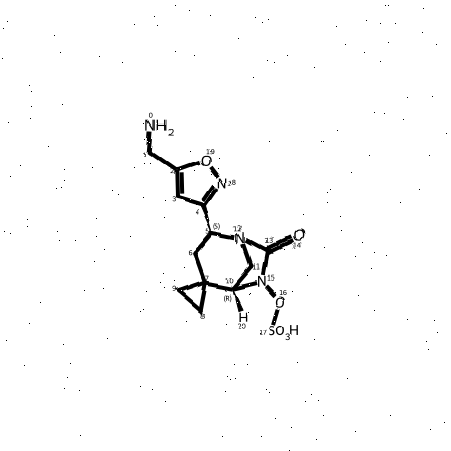 NCc1cc([C@@H]2CC3(CC3)[C@@H]3CN2C(=O)N3OS(=O)(=O)O)no1